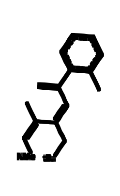 C=C(/C=C(CC(C)(C)C)\C(C)=C/NC)c1ccccc1C